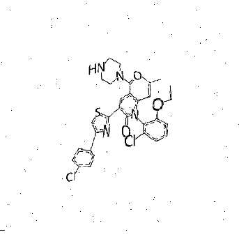 CCOc1cccc(Cl)c1-n1c(C=C(C)C)c(C(=O)N2CCNCC2)cc(-c2nc(-c3ccc(Cl)cc3)cs2)c1=O